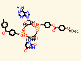 CCCCCCCCCCOc1ccc(C(=O)Oc2ccc(CSP3(=O)OC[C@H]4O[C@@H](n5ccc(=O)[nH]c5=O)[C@H](OP(=O)(SCc5ccc(C(=O)c6ccc(C)cc6)cc5)OC[C@H]5O[C@@H](n6cnc7c(N)ncnc76)C[C@@H]5O3)[C@@H]4F)cc2)cc1